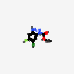 CC(C)(C)OC(=O)Nc1cc(Cl)c(F)cc1N